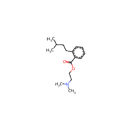 CC(C)CCc1ccccc1C(=O)OCCN(C)C